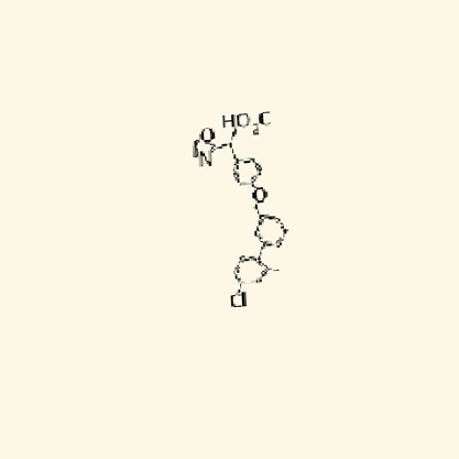 Cc1cc(Cl)ccc1-c1cccc(COc2ccc([C@H](CC(=O)O)c3ncco3)cc2)c1